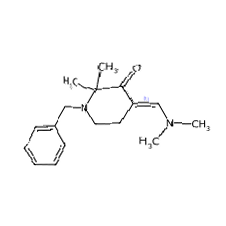 CN(C)/C=C1\CCN(Cc2ccccc2)C(C)(C)C1=O